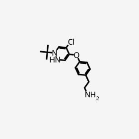 CC(C)(C)N1C=C(Cl)C(Oc2ccc(CCN)cc2)=CN1